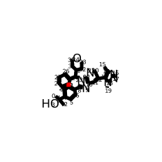 [CH2]C(C)(O)c1ccc(-c2nc3cc(-c4c(C)nnn4C)cnc3n2C(c2ccccc2)C2CCOCC2)cc1